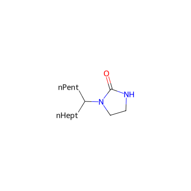 CCCCCCCC(CCCCC)N1CCNC1=O